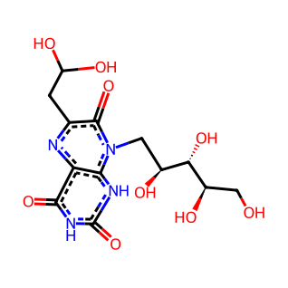 O=c1[nH]c(=O)c2nc(CC(O)O)c(=O)n(C[C@H](O)[C@H](O)[C@H](O)CO)c2[nH]1